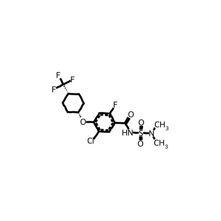 CN(C)S(=O)(=O)NC(=O)c1cc(Cl)c(O[C@H]2CC[C@@H](C(F)(F)F)CC2)cc1F